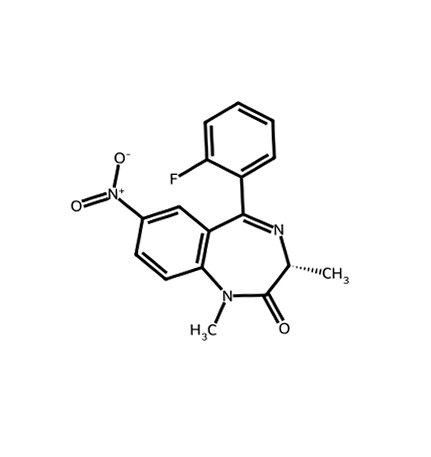 C[C@H]1N=C(c2ccccc2F)c2cc([N+](=O)[O-])ccc2N(C)C1=O